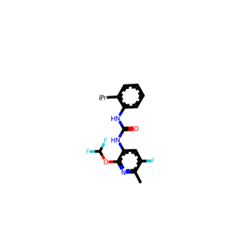 Cc1nc(OC(F)F)c(NC(=O)Nc2ccccc2C(C)C)cc1F